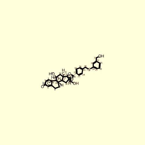 C[C@]12C=CC(=O)C=C1CC[C@@H]1[C@@H]2[C@@H](O)C[C@@]2(C)[C@H]1C[C@H]1O[C@@H](c3ccc(CSc4cccc(CO)c4)cc3)O[C@]12C(=O)CO